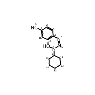 N#Cc1ccc(/N=N\N(O)C2CCCCC2)cc1